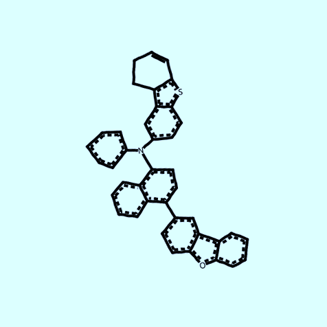 C1=Cc2sc3ccc(N(c4ccccc4)c4ccc(-c5ccc6oc7ccccc7c6c5)c5ccccc45)cc3c2CC1